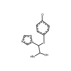 CCCCC(O)C(Oc1ccc(Cl)cc1)n1cncn1